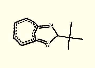 CC(C)(C)C1N=c2ccccc2=N1